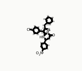 O=c1cc(-c2ccc([N+](=O)[O-])cc2)[nH]c2c(-c3ccc(Cl)cc3)c(Cc3ccccc3)nn12